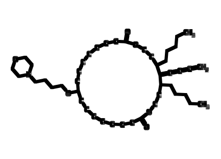 C=C=C=C=C1C(CCCCC)CCOC(=O)CCCCCCCC(OCCCCN2CCOCC2)CCCCCCCC(=O)OCCC1CCCCC